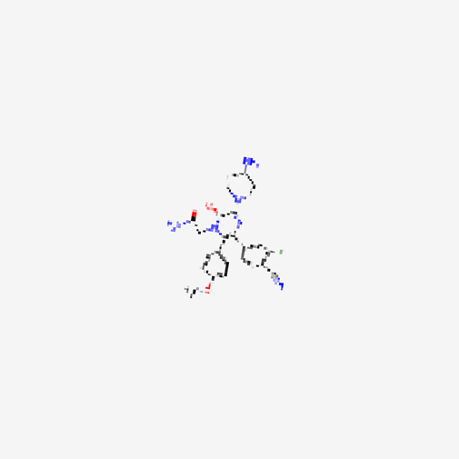 COc1ccc(-c2c(-c3ccc(C#N)c(F)c3)nc(N3CCC(N)CC3)c(=O)n2CC(N)=O)cc1